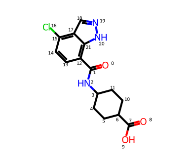 O=C(NC1CCC(C(=O)O)CC1)c1ccc(Cl)c2cn[nH]c12